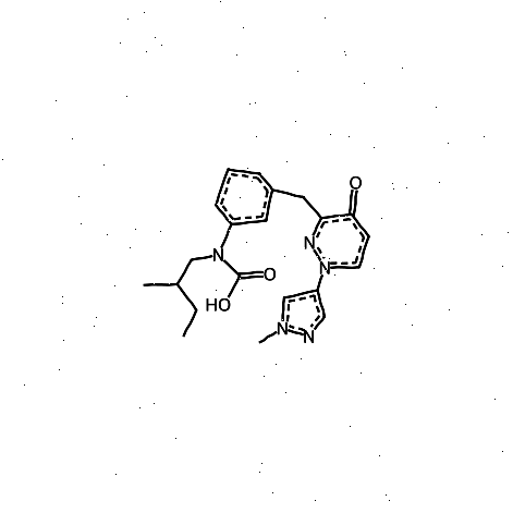 CCC(C)CN(C(=O)O)c1cccc(Cc2nn(-c3cnn(C)c3)ccc2=O)c1